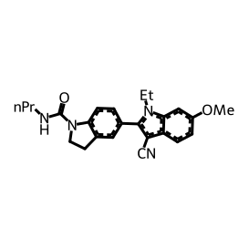 CCCNC(=O)N1CCc2cc(-c3c(C#N)c4ccc(OC)cc4n3CC)ccc21